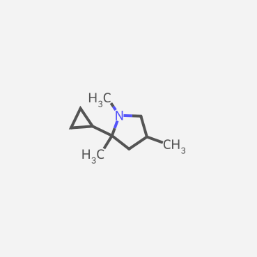 CC1CN(C)C(C)(C2CC2)C1